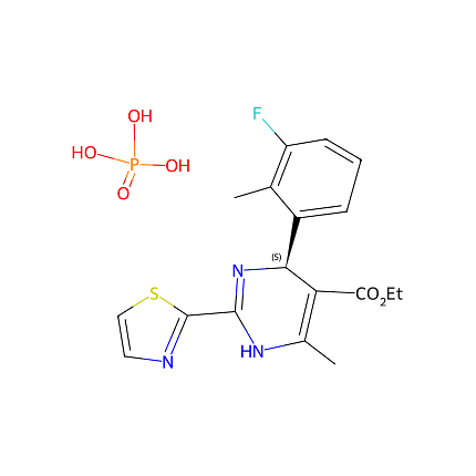 CCOC(=O)C1=C(C)NC(c2nccs2)=N[C@H]1c1cccc(F)c1C.O=P(O)(O)O